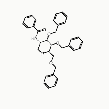 O=C(N[C@H]1CO[C@H](COCc2ccccc2)[C@H](OCc2ccccc2)[C@@H]1OCc1ccccc1)c1ccccc1